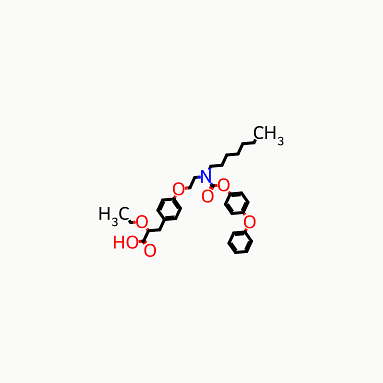 CCCCCCCN(CCOc1ccc(CC(OCC)C(=O)O)cc1)C(=O)Oc1ccc(Oc2ccccc2)cc1